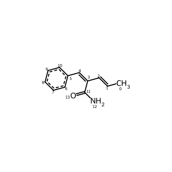 CC=CC(=Cc1ccccc1)C(N)=O